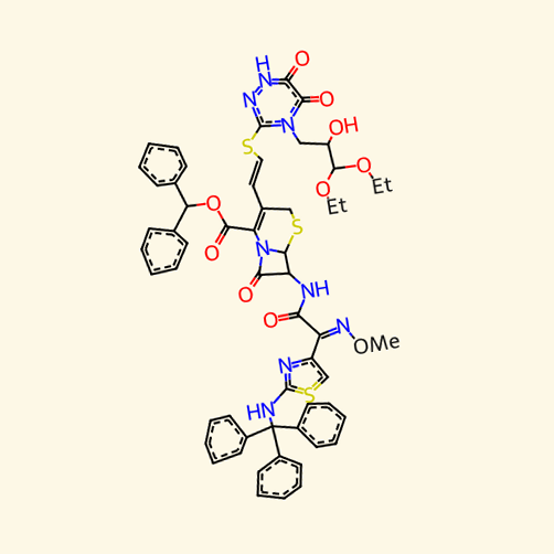 CCOC(OCC)C(O)Cn1c(SC=CC2=C(C(=O)OC(c3ccccc3)c3ccccc3)N3C(=O)C(NC(=O)C(=NOC)c4csc(NC(c5ccccc5)(c5ccccc5)c5ccccc5)n4)C3SC2)n[nH]c(=O)c1=O